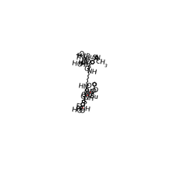 Cc1ncsc1-c1ccc(C(CC(=O)NCCCCCCCC(=O)N[C@H]2C[C@@H](C(=O)N3CCOC(c4ccccc4)C3)N(C(=O)C(NC(=O)c3cc4cc(C(F)(F)P(=O)(O)O)ccc4s3)C(C)(C)C)C2)NC(=O)[C@@H]2C[C@@H](O)CN2C(=O)C(NC(=O)C2(F)CC2)C(C)(C)C)cc1